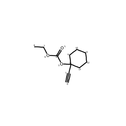 C#CC1(OC(=O)OCC)CCCCC1